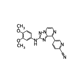 COc1ccc(Nc2nc3c(-c4ccc(C#N)nc4)nccn3n2)cc1OC